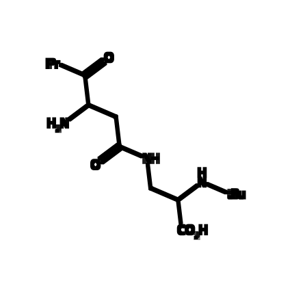 CC(C)C(=O)C(N)CC(=O)NCC(NC(C)(C)C)C(=O)O